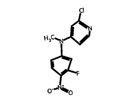 CN(c1ccnc(Cl)c1)c1ccc([N+](=O)[O-])c(F)c1